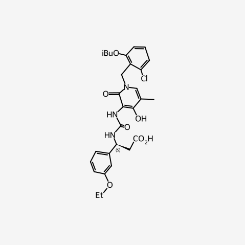 CCOc1cccc([C@H](CC(=O)O)NC(=O)Nc2c(O)c(C)cn(Cc3c(Cl)cccc3OCC(C)C)c2=O)c1